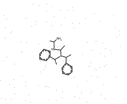 CC(N)NC(C)N(C(C)c1ccccc1)C(C)c1ccccc1